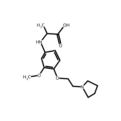 COc1cc(NC(C)C(=O)O)ccc1OCCN1CCCC1